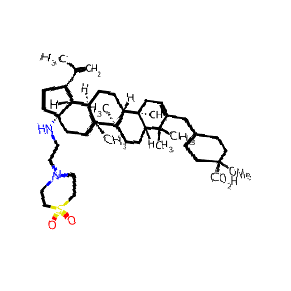 C=C(C)[C@@H]1CC[C@]2(NCCN3CCS(=O)(=O)CC3)CC[C@]3(C)[C@H](CC[C@@H]4[C@@]5(C)CC=C(CC6CCC(OC)(C(=O)O)CC6)C(C)(C)[C@@H]5CC[C@]43C)[C@@H]12